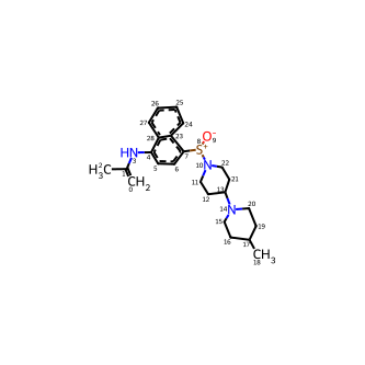 C=C(C)Nc1ccc([S+]([O-])N2CCC(N3CCC(C)CC3)CC2)c2ccccc12